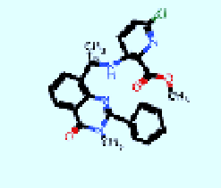 COC(=O)c1nc(Cl)ccc1N[C@H](C)c1cccc2c(=O)n(C)c(-c3ccccc3)nc12